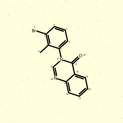 Cc1c(Br)cccc1-n1cnc2ccccc2c1=O